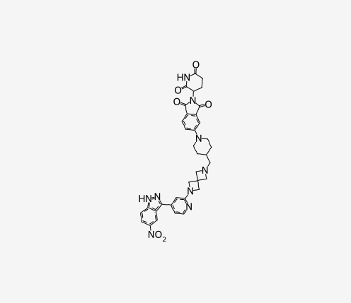 O=C1CCC(N2C(=O)c3ccc(N4CCC(CN5CC6(C5)CN(c5cc(-c7n[nH]c8ccc([N+](=O)[O-])cc78)ccn5)C6)CC4)cc3C2=O)C(=O)N1